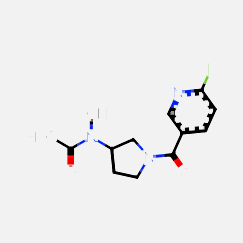 CC(=O)N(C)C1CCN(C(=O)c2ccc(F)nc2)C1